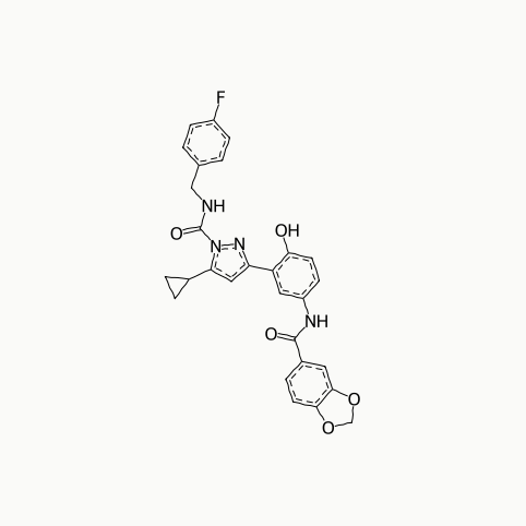 O=C(Nc1ccc(O)c(-c2cc(C3CC3)n(C(=O)NCc3ccc(F)cc3)n2)c1)c1ccc2c(c1)OCO2